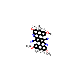 COC1=CC2C(C=C1)C(c1c(C#N)c(C#N)cc3c(C4c5ccc(OC)cc5C(C)(C)C5C=C(OC)C=CC45)c(C#N)c(C#N)cc13)c1ccc(OC)cc1C2(C)C